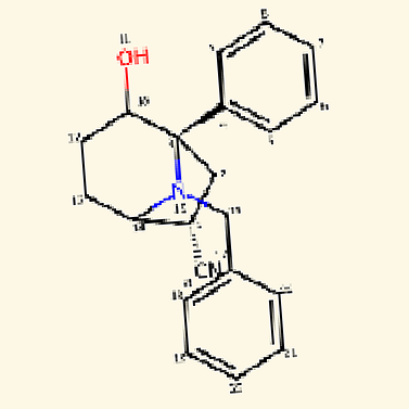 N#C[C@H]1C[C@@]2(c3ccccc3)C(O)CCC1N2Cc1ccccc1